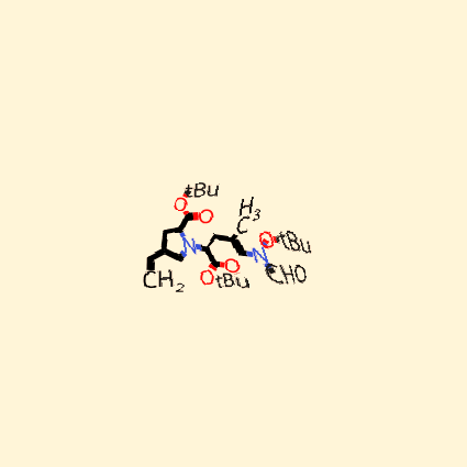 C=CC1CC(C(=O)OC(C)(C)C)N([C@@H](CC(C)=CN(C=O)OC(C)(C)C)C(=O)OC(C)(C)C)C1